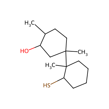 CC1CCC(C)(C2(C)CCCCC2S)CC1O